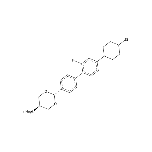 CCCCCCC[C@H]1CO[C@H](c2ccc(-c3ccc(C4CCC(CC)CC4)cc3F)cc2)OC1